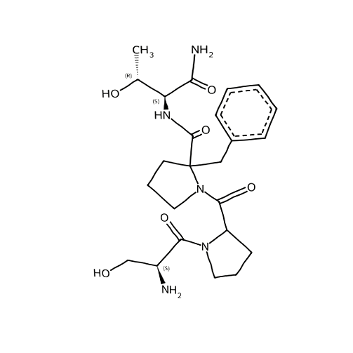 C[C@@H](O)[C@H](NC(=O)C1(Cc2ccccc2)CCCN1C(=O)C1CCCN1C(=O)[C@@H](N)CO)C(N)=O